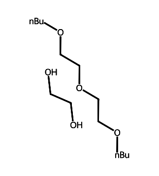 CCCCOCCOCCOCCCC.OCCO